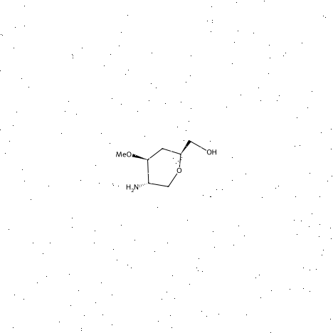 CO[C@H]1C[C@@H](CO)OC[C@@H]1N